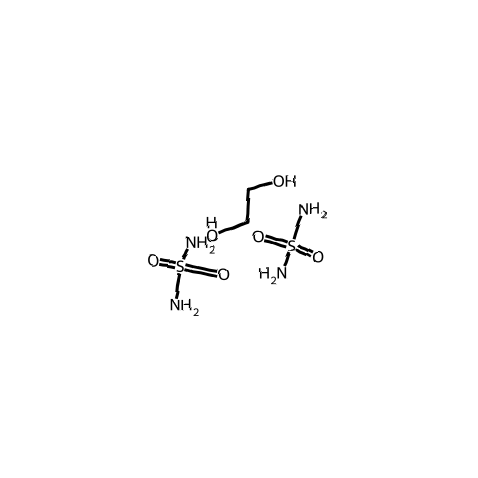 NS(N)(=O)=O.NS(N)(=O)=O.OCCO